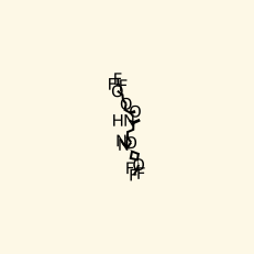 C=C(CCc1nnc([C@H]2C[C@@H](OC(F)(F)F)C2)o1)NC(=O)COCCOC(F)(F)F